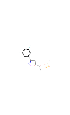 CC(OS(=O)(=O)C(F)(F)F)C1CC(c2cc(F)cc(F)c2)=NO1